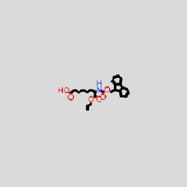 C=CCOC(=O)C(CCCCCC(=O)O)NC(=O)OCC1c2ccccc2-c2ccccc21